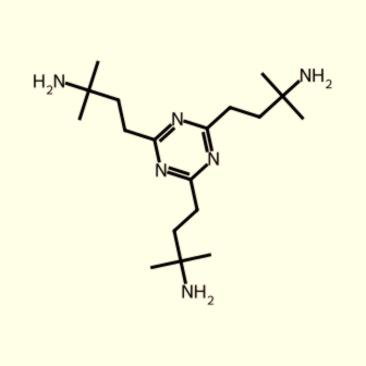 CC(C)(N)CCc1nc(CCC(C)(C)N)nc(CCC(C)(C)N)n1